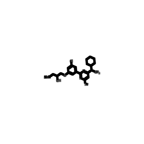 CNCC(O)COc1cc(Cl)cc(-c2nc(C(C)C)cc(N(C)C3CCCCC3)n2)c1